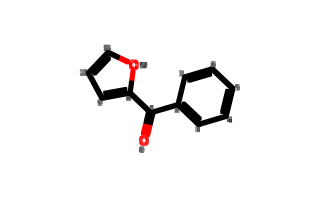 O=C(c1ccccc1)c1cc[c]o1